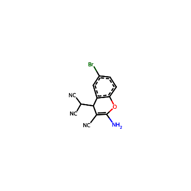 N#CC1=C(N)Oc2ccc(Br)cc2C1C(C#N)C#N